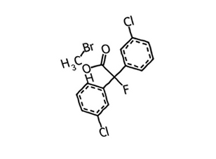 CBr.O=C(O)C(F)(c1cccc(Cl)c1)c1cccc(Cl)c1